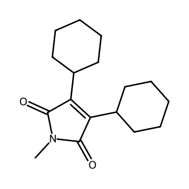 CN1C(=O)C(C2CCCCC2)=C(C2CCCCC2)C1=O